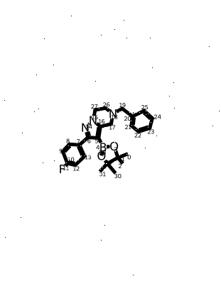 CC1(C)OB(c2c(-c3ccc(F)cc3)nn3c2CN(Cc2ccccc2)CC3)OC1(C)C